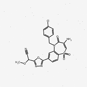 COC(C#N)c1nnc(-c2ccc3c(c2)N(Cc2ccc(Cl)cc2)C(=O)C(N)=CS3(=O)=O)o1